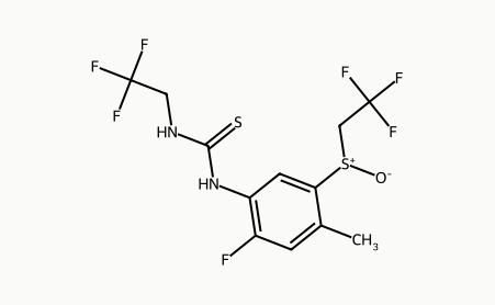 Cc1cc(F)c(NC(=S)NCC(F)(F)F)cc1[S+]([O-])CC(F)(F)F